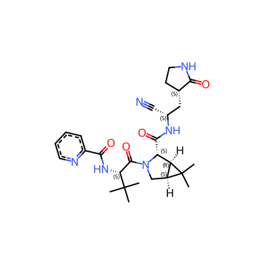 CC(C)(C)[C@H](NC(=O)c1ccccn1)C(=O)N1C[C@H]2[C@@H]([C@H]1C(=O)N[C@H](C#N)C[C@@H]1CCNC1=O)C2(C)C